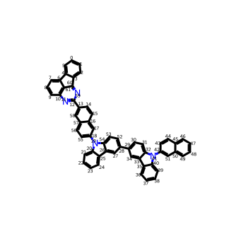 c1ccc2c(c1)-c1cccc3nc(-c4ccc5cc(-n6c7ccccc7c7cc(-c8ccc9c(c8)c8ccccc8n9-c8ccc9ccccc9c8)ccc76)ccc5c4)nc-2c13